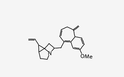 C=CC1C2CCN3C(CC4=C5C=C(OC)C=CC5C(=C)CC=C4)CC123